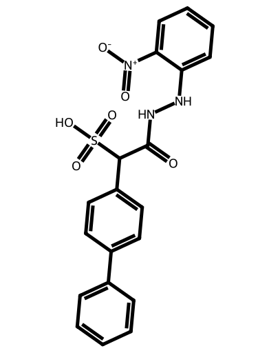 O=C(NNc1ccccc1[N+](=O)[O-])C(c1ccc(-c2ccccc2)cc1)S(=O)(=O)O